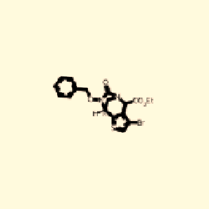 CCOC(=O)C1c2c(Br)csc2[C@H]2CN1C(=O)N2OCc1ccccc1